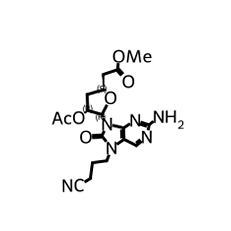 COC(=O)C[C@@H]1C[C@@H](OC(C)=O)[C@H](n2c(=O)n(CCCC#N)c3cnc(N)nc32)O1